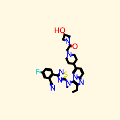 CCc1nc2ccc(C3CCN(CC(=O)N4CC(O)C4)CC3)cn2c1N(C)c1nc(-c2ccc(F)cc2C#N)ns1